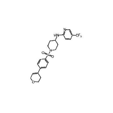 O=S(=O)(c1ccc(C2=CCOCC2)cc1)N1CCC(Nc2ccc(C(F)(F)F)cn2)CC1